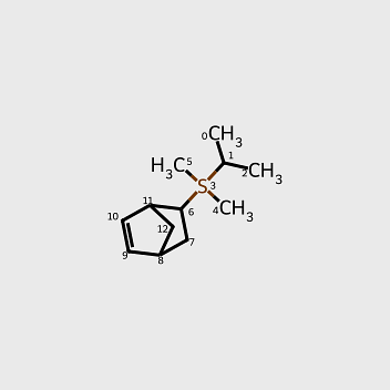 CC(C)S(C)(C)C1CC2C=CC1C2